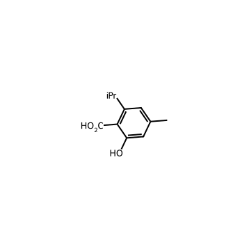 Cc1cc(O)c(C(=O)O)c(C(C)C)c1